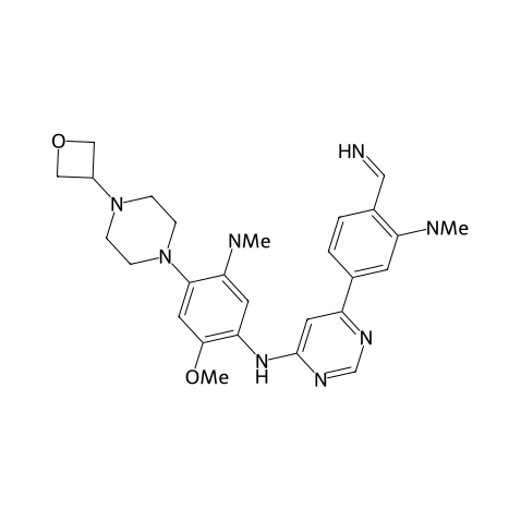 CNc1cc(-c2cc(Nc3cc(NC)c(N4CCN(C5COC5)CC4)cc3OC)ncn2)ccc1C=N